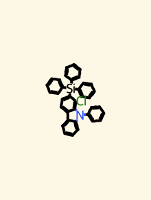 Clc1c([Si](c2ccccc2)(c2ccccc2)c2ccccc2)ccc2c3ccccc3n(-c3ccccc3)c12